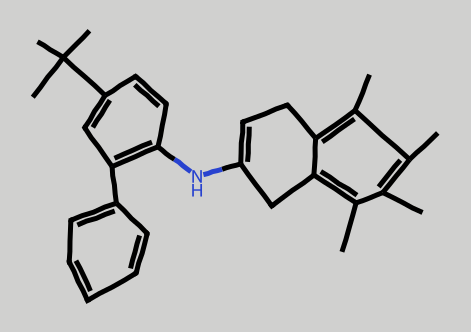 Cc1c(C)c(C)c2c(c1C)CC=C(Nc1ccc(C(C)(C)C)cc1-c1ccccc1)C2